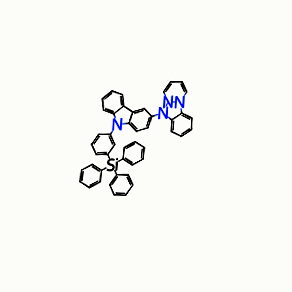 C1=CN2c3ccccc3N(c3ccc4c(c3)c3ccccc3n4-c3cccc([Si](c4ccccc4)(c4ccccc4)c4ccccc4)c3)N2C=C1